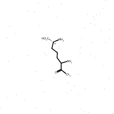 NC(CCC[C@@H](N)C(=O)O)C(=O)C(F)(F)F